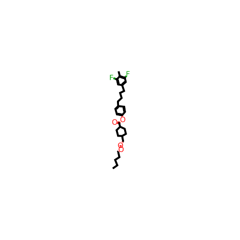 CCCCCOOCC1CCC(C(=O)Oc2ccc(CCCCc3cc(F)c(C)c(F)c3)cc2)CC1